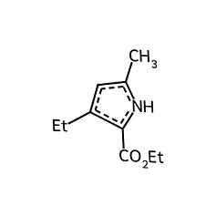 CCOC(=O)c1[nH]c(C)cc1CC